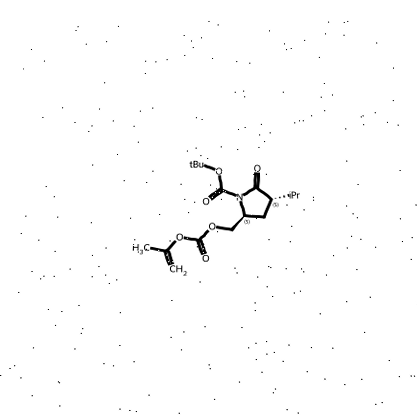 C=C(C)OC(=O)OC[C@@H]1C[C@@H](C(C)C)C(=O)N1C(=O)OC(C)(C)C